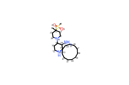 CC1(S(C)(=O)=O)CCN(C2CCNC3(CCCCCCCCCC3)C2N)CC1